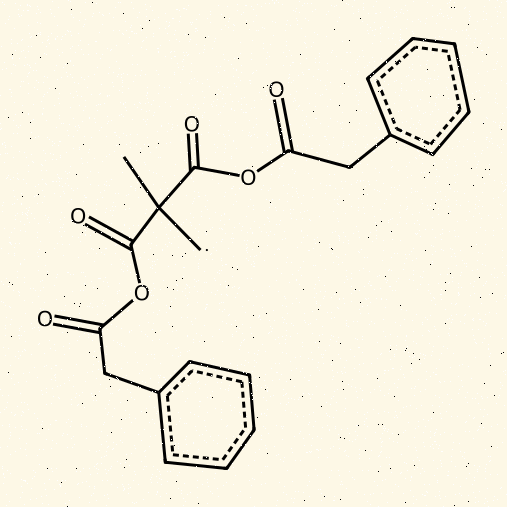 [CH2]C(C)(C(=O)OC(=O)Cc1ccccc1)C(=O)OC(=O)Cc1ccccc1